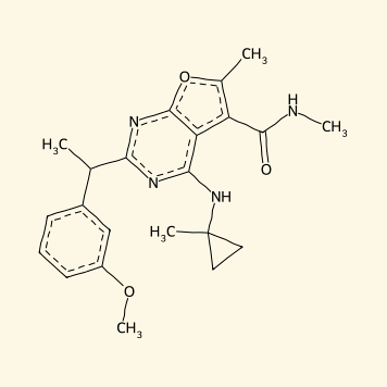 CNC(=O)c1c(C)oc2nc(C(C)c3cccc(OC)c3)nc(NC3(C)CC3)c12